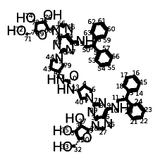 O=C(N[C@@H]1CCN(c2nc(NCC(c3ccccc3)c3ccccc3)c3ncn([C@@H]4O[C@H](CO)[C@@H](O)[C@H]4O)c3n2)C1)N[C@@H]1CCN(c2nc(NCC(c3ccccc3)c3ccccc3)c3ncn([C@@H]4O[C@H](CO)[C@@H](O)[C@H]4O)c3n2)C1